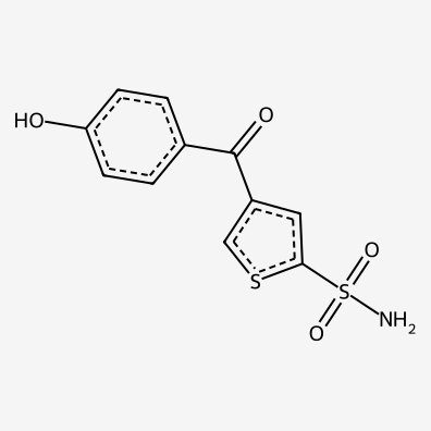 NS(=O)(=O)c1cc(C(=O)c2ccc(O)cc2)cs1